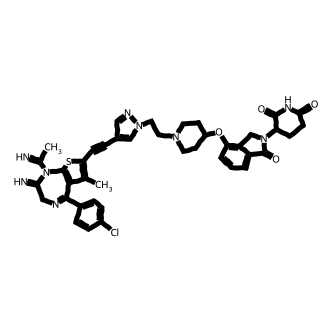 CC(=N)N1C(=N)CN=C(c2ccc(Cl)cc2)c2c1sc(C#Cc1cnn(CCN3CCC(Oc4cccc5c4CN(C4CCC(=O)NC4=O)C5=O)CC3)c1)c2C